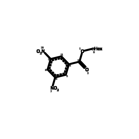 [CH2]CCCCCOC(=O)c1cc([N+](=O)[O-])cc([N+](=O)[O-])c1